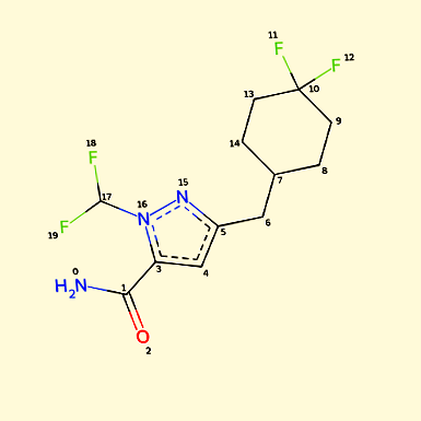 NC(=O)c1cc(CC2CCC(F)(F)CC2)nn1C(F)F